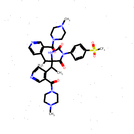 CC(c1ccncc1C(=O)N1CCN(C)CC1)C1(C(C)c2ccncc2C(=O)N2CCN(C)CC2)NC(=O)N(c2ccc(S(=O)(=O)C(F)(F)F)cc2)C1=O